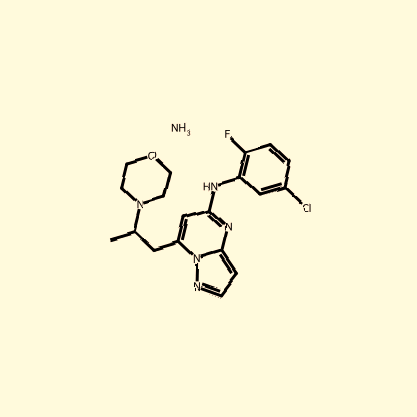 CC(Cc1cc(Nc2cc(Cl)ccc2F)nc2ccnn12)N1CCOCC1.N